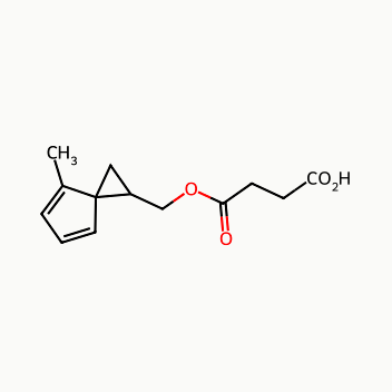 CC1=CC=CC12CC2COC(=O)CCC(=O)O